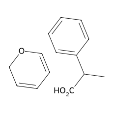 C1=CCOC=C1.CC(C(=O)O)c1ccccc1